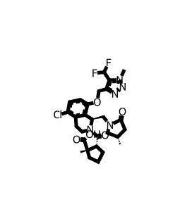 C[C@H]1CC(=O)N(C[C@@H]2c3c(OCc4nnn(C)c4C(F)F)ccc(Cl)c3CCN2C(=O)[C@@H]2CCC[C@]2(C)C(=O)O)C1